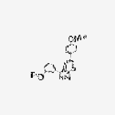 COc1ccc(C2=Nn3c(nnc3-c3cccc(OC(C)C)c3)SC2)cc1